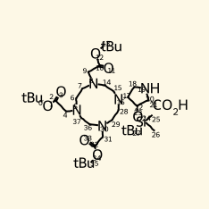 CC(C)(C)OC(=O)CN1CCN(CC(=O)OC(C)(C)C)CCN([C@@H]2CN[C@H](C(=O)O)[C@H]2O[Si](C)(C)C(C)(C)C)CCN(CC(=O)OC(C)(C)C)CC1